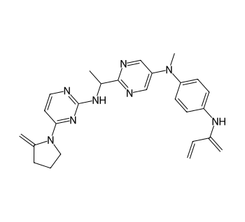 C=CC(=C)Nc1ccc(N(C)c2cnc(C(C)Nc3nccc(N4CCCC4=C)n3)nc2)cc1